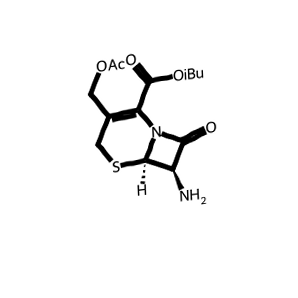 CC(=O)OCC1=C(C(=O)OCC(C)C)N2C(=O)[C@@H](N)[C@H]2SC1